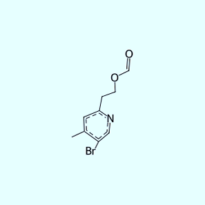 Cc1cc(CCOC=O)ncc1Br